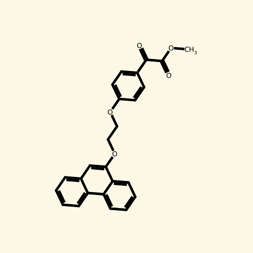 COC(=O)C(=O)c1ccc(OCCOc2cc3ccccc3c3ccccc23)cc1